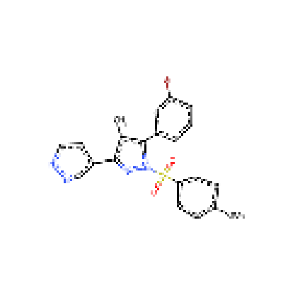 COc1ccc(S(=O)(=O)n2nc(-c3ccnnc3)c(C)c2-c2cccc(Br)c2)cc1